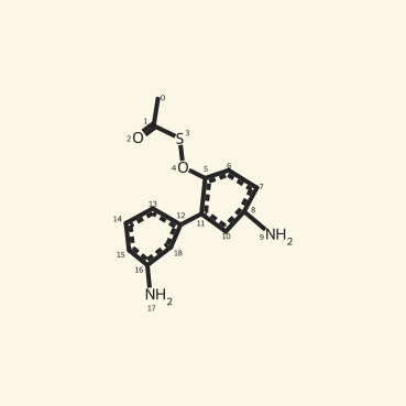 CC(=O)SOc1ccc(N)cc1-c1cccc(N)c1